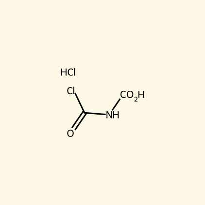 Cl.O=C(O)NC(=O)Cl